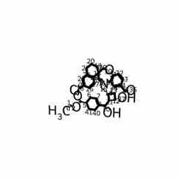 CCOC(=O)[C@H]1CC=C([C@@H](O)[C@@H]2CC[C@H]2CN2CC3(CCCc4cc(Cl)ccc43)COc3ccc(C(=O)O)cc32)CC1